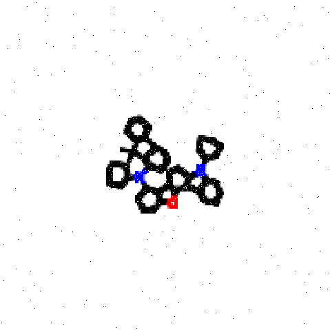 CC1(C)c2ccccc2-c2cccc(N(c3ccccc3)c3cccc4oc5c(ccc6c5c5ccccc5n6-c5ccccc5)c34)c21